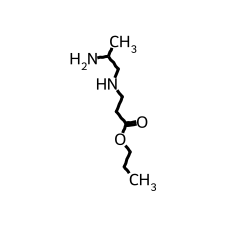 CCCOC(=O)CCNCC(C)N